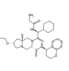 CCO[C@@H]1C[C@@H]2CN(C(=O)[C@@H](NC(=O)CN)C3CCCCC3)[C@H](C(=O)N[C@@H]3CCOc4ccccc43)CN2C1